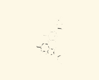 COC(=O)c1nc2c(N3C[C@@H](C)N(C(=O)OC(C)(C)C)C[C@@H]3C)cc(=O)n(C)c2s1